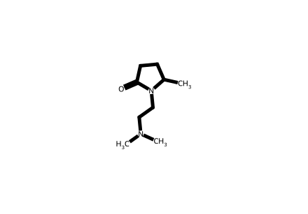 CC1CCC(=O)N1CCN(C)C